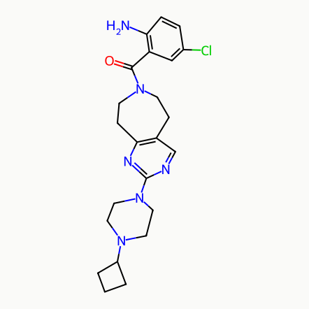 Nc1ccc(Cl)cc1C(=O)N1CCc2cnc(N3CCN(C4CCC4)CC3)nc2CC1